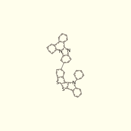 c1ccc(-n2c3ccccc3c3sc4sc5ccc(-c6ccc7nc8c9ccccc9c9ccccc9n8c7c6)cc5c4c32)cc1